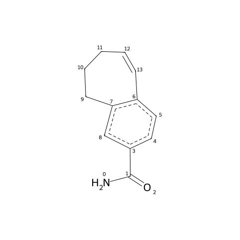 NC(=O)c1ccc2c(c1)CCCC=C2